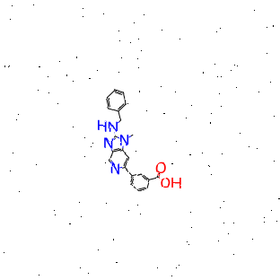 Cn1c(NCc2ccccc2)nc2cnc(-c3cccc(C(=O)O)c3)cc21